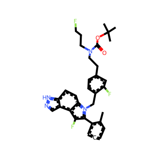 Cc1ccccc1-c1c(F)c2c3cn[nH]c3ccc2n1Cc1ccc(CCN(CCCF)C(=O)OC(C)(C)C)cc1F